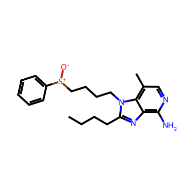 CCCCc1nc2c(N)ncc(C)c2n1CCCC[S+]([O-])c1ccccc1